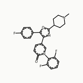 CN1CCC(c2nc(-c3ccc(=O)n(-c4c(F)cccc4F)c3)c(-c3ccc(F)cc3)o2)CC1